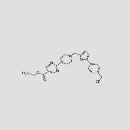 CCOC(=O)c1cnc(N2CCN(Cc3ccc(-c4ccc(CCl)cc4)o3)CC2)nc1